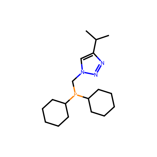 CC(C)c1cn(CP(C2CCCCC2)C2CCCCC2)nn1